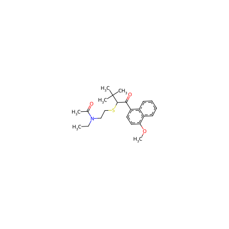 CCN(CCSC(C(=O)c1ccc(OC)c2ccccc12)C(C)(C)C)C(C)=O